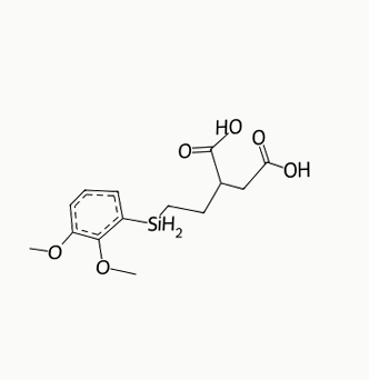 COc1cccc([SiH2]CCC(CC(=O)O)C(=O)O)c1OC